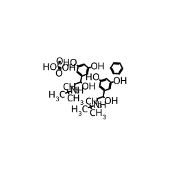 CC(C)(C)NCC(O)c1cc(O)cc(O)c1.CC(C)(C)NCC(O)c1cc(O)cc(O)c1.O=S(=O)(O)O.c1ccccc1